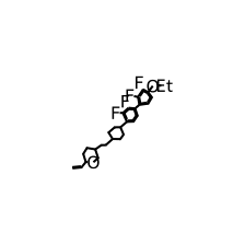 C=CC1CCC(CCC2CCC(c3ccc(-c4ccc(OCC)c(F)c4F)c(F)c3F)CC2)CO1